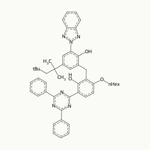 CCCCCCOc1ccc(-c2nc(-c3ccccc3)nc(-c3ccccc3)n2)c(O)c1Cc1cc(C(C)(C)CC(C)(C)C)cc(-n2nc3ccccc3n2)c1O